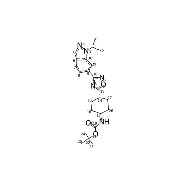 CC(C)n1ncc2ccc(-c3noc([C@H]4CC[C@@H](NC(=O)OC(C)(C)C)CC4)n3)cc21